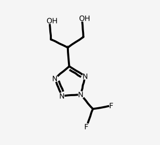 OC[C](CO)c1nnn(C(F)F)n1